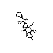 CCCN1C(=O)C(CC(C)C)NC(=O)C12CCN(C(=O)NC1CCCCC1)CC2